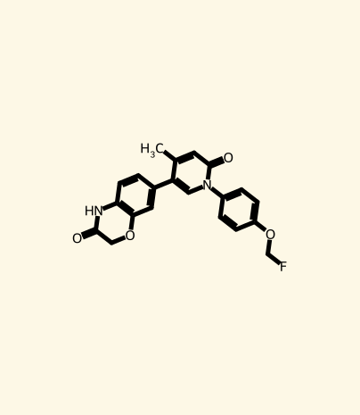 Cc1cc(=O)n(-c2ccc(OCF)cc2)cc1-c1ccc2c(c1)OCC(=O)N2